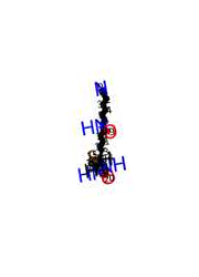 N#CC[CH]CCCNC(=O)CCCC[C@@H]1SC[C@@H]2NC(=O)N[C@@H]21